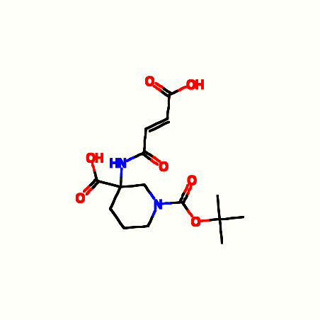 CC(C)(C)OC(=O)N1CCCC(NC(=O)C=CC(=O)O)(C(=O)O)C1